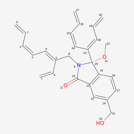 C=C/C=C\C=C(/C=C)CN1C(=O)c2cc(CO)ccc2[C@]1(OC)C(/C=C\C=C)=C/C=C